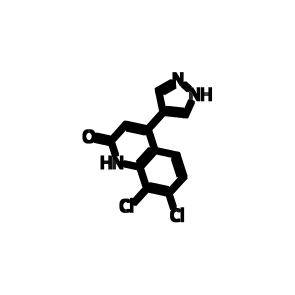 O=c1cc(-c2cn[nH]c2)c2ccc(Cl)c(Cl)c2[nH]1